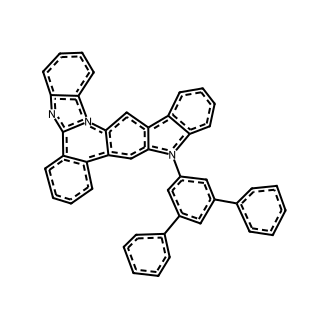 c1ccc(-c2cc(-c3ccccc3)cc(-n3c4ccccc4c4cc5c(cc43)c3ccccc3c3nc4ccccc4n53)c2)cc1